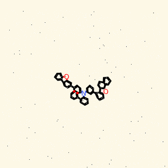 C1=CC2c3c(cccc3-c3cccc(N(c4ccc(-c5ccc6c(c5)oc5ccccc56)cc4)c4ccccc4-c4ccccc4)c3)OC2c2ccccc21